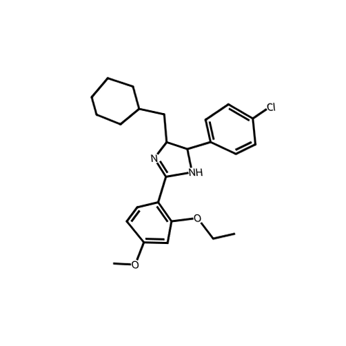 CCOc1cc(OC)ccc1C1=NC(CC2CCCCC2)C(c2ccc(Cl)cc2)N1